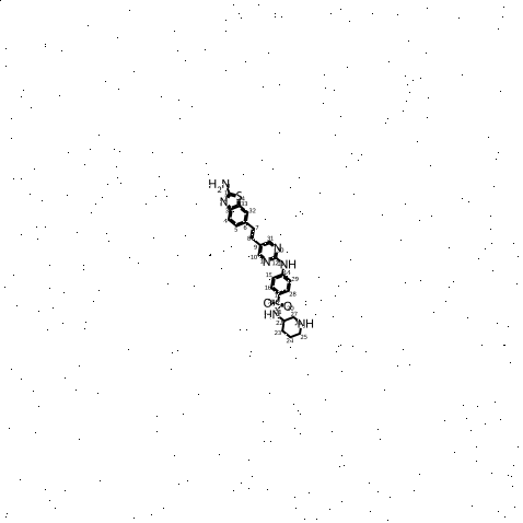 Nc1nc2ccc(C=Cc3cnc(Nc4ccc(S(=O)(=O)NC5CCCNC5)cc4)nc3)cc2s1